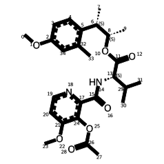 COc1ccc([C@H](C)[C@H](C)OC(=O)[C@@H](NC(=O)c2nccc(OC)c2OC(C)=O)C(C)C)c(C)c1